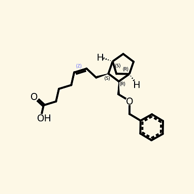 O=C(O)CCC/C=C\C[C@H]1[C@H]2CC[C@H](C2)[C@H]1COCc1ccccc1